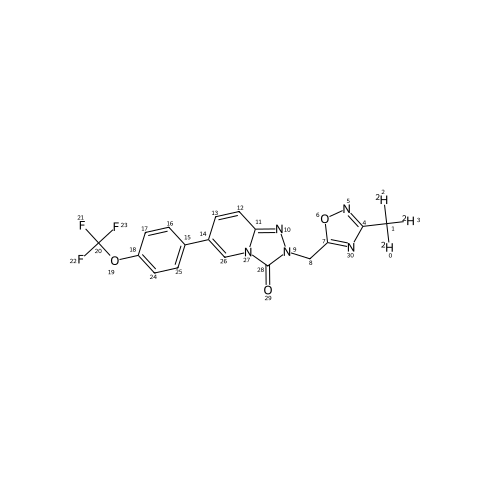 [2H]C([2H])([2H])c1noc(Cn2nc3ccc(-c4ccc(OC(F)(F)F)cc4)cn3c2=O)n1